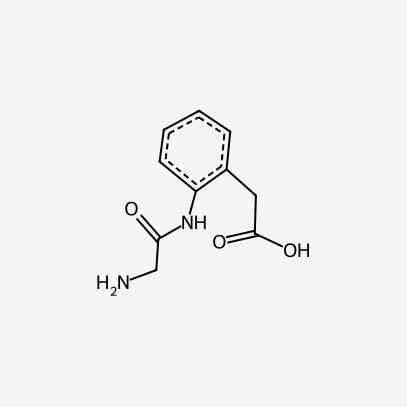 NCC(=O)Nc1ccccc1CC(=O)O